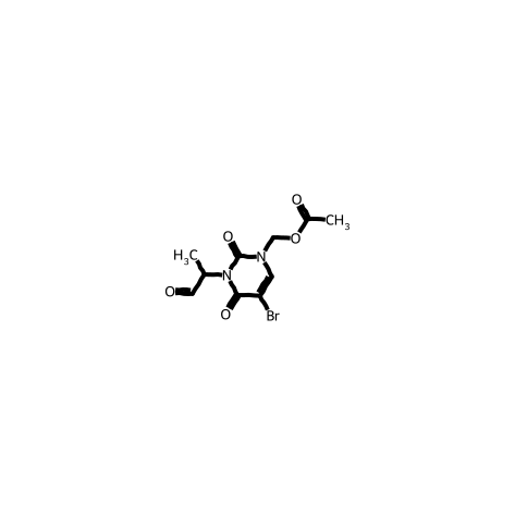 CC(=O)OCn1cc(Br)c(=O)n(C(C)C=O)c1=O